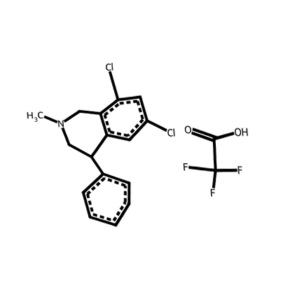 CN1Cc2c(Cl)cc(Cl)cc2C(c2ccccc2)C1.O=C(O)C(F)(F)F